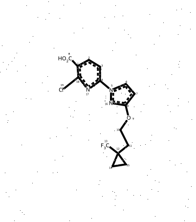 O=C(O)c1ccc(-n2ccc(OCCC3(C(F)(F)F)CC3)n2)nc1Cl